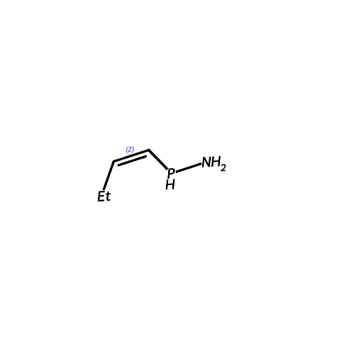 CC/C=C\PN